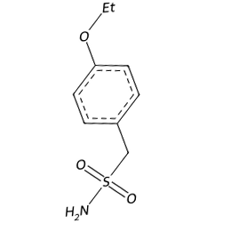 CCOc1ccc(CS(N)(=O)=O)cc1